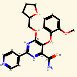 COc1ccccc1Oc1c(OCC2CCCO2)nc(-c2ccncc2)nc1C(N)=O